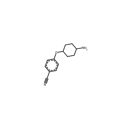 N#Cc1ccc(OC2CCC(N)CC2)cc1